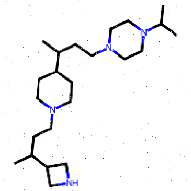 CC(CCN1CCN(C(C)C)CC1)C1CCN(CCC(C)C2CNC2)CC1